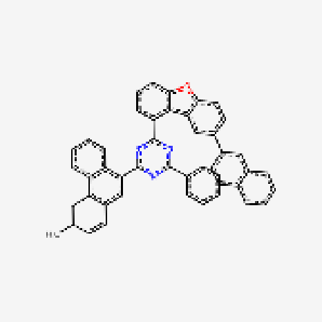 CC1C=Cc2cc(-c3nc(-c4ccccc4)nc(-c4cccc5oc6ccc(-c7ccc8ccccc8c7)cc6c45)n3)c3ccccc3c2C1